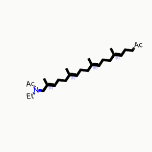 CCN(C/C(C)=C/CC/C(C)=C/CC/C(C)=C/CC/C(C)=C/CCC(C)=O)C(C)=O